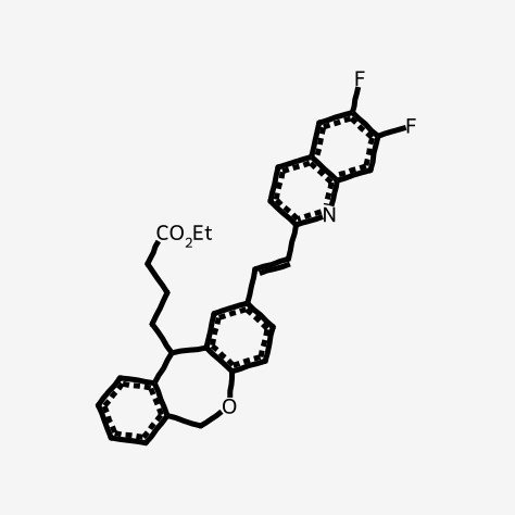 CCOC(=O)CCCC1c2ccccc2COc2ccc(C=Cc3ccc4cc(F)c(F)cc4n3)cc21